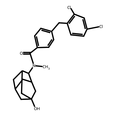 CN(C(=O)c1ccc(Cc2ccc(Cl)cc2Cl)cc1)C1C2CC3CC1CC(O)(C3)C2